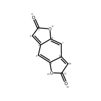 O=C1C=c2cc3c(cc2O1)=CC(=O)O3